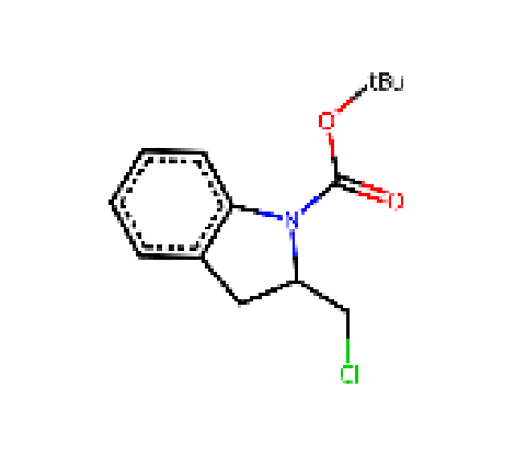 CC(C)(C)OC(=O)N1c2ccccc2CC1CCl